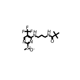 C[S+]([O-])c1ncc(C(F)(F)F)c(NCCCNC(=O)C(C)(C)C)n1